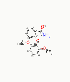 CCCCOc1cccc(C(N)=O)c1Oc1ccccc1OC(F)(F)F